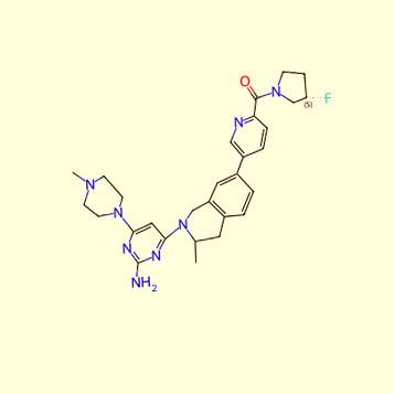 CC1Cc2ccc(-c3ccc(C(=O)N4CC[C@H](F)C4)nc3)cc2CN1c1cc(N2CCN(C)CC2)nc(N)n1